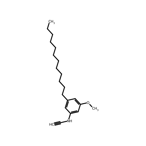 C#CNc1cc(CCCCCCCCCCCC)cc(OC)c1